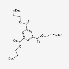 CCCCCCCCCCCCOC(=O)c1cc(C(=O)OCCCCCCCCCCCC)cc(C(=O)OCCCCCCCCCCCC)c1